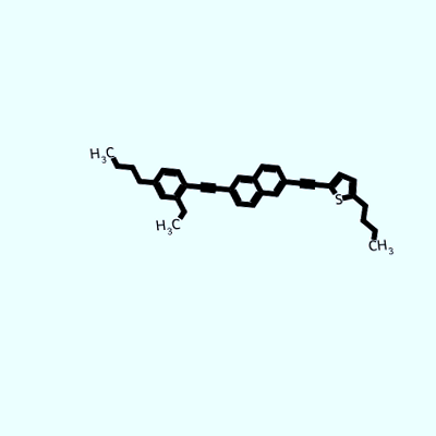 CCCCc1ccc(C#Cc2ccc3cc(C#Cc4ccc(CCCC)s4)ccc3c2)c(CC)c1